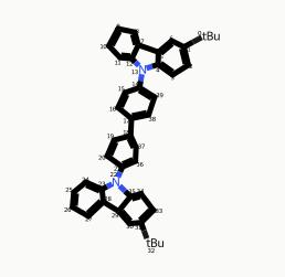 CC(C)(C)c1ccc2c(c1)c1ccccc1n2-c1ccc(-c2ccc(-n3c4ccccc4c4cc(C(C)(C)C)ccc43)cc2)cc1